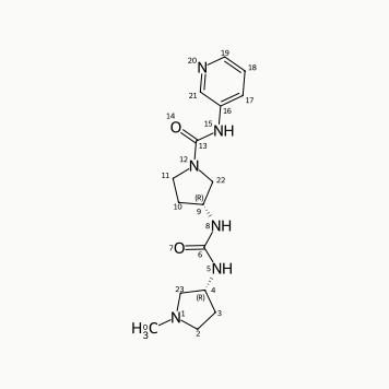 CN1CC[C@@H](NC(=O)N[C@@H]2CCN(C(=O)Nc3cccnc3)C2)C1